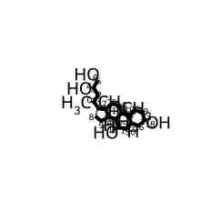 C[C@H](CC(O)CO)[C@H]1CC[C@H]2[C@@H]3[C@H](O)C[C@@H]4C[C@H](O)CC[C@]4(C)[C@H]3CC[C@]12C